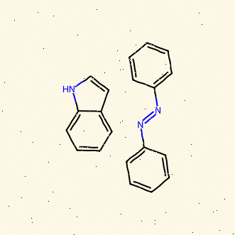 c1ccc(N=Nc2ccccc2)cc1.c1ccc2[nH]ccc2c1